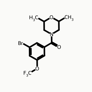 CC1CN(C(=O)c2cc(Br)cc(OC(F)(F)F)c2)CC(C)O1